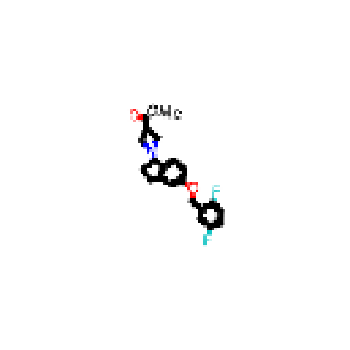 COC(=O)C1CN(C2CCc3cc(OCc4cc(F)ccc4F)ccc32)C1